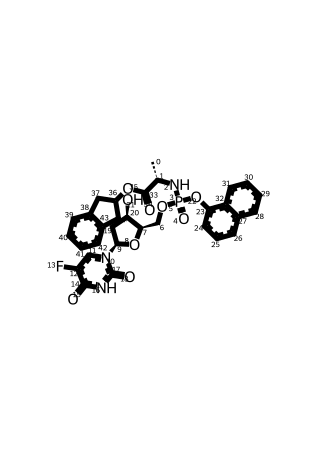 C[C@H](NP(=O)(OC[C@H]1O[C@@H](n2cc(F)c(=O)[nH]c2=O)C[C@H]1O)Oc1cccc2ccccc12)C(=O)OC1Cc2ccccc2C1